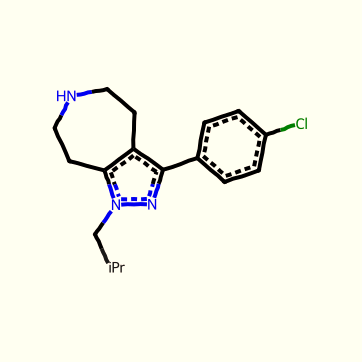 CC(C)Cn1nc(-c2ccc(Cl)cc2)c2c1CCNCC2